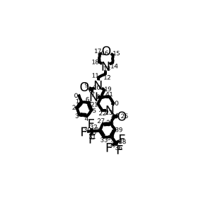 Cc1ccccc1N1C(=O)N(CCN2CCOCC2)CC12CCN(C(=O)c1cc(C(F)(F)F)cc(C(F)(F)F)c1)CC2